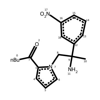 CCCCC(=O)c1cccn1CC(C)(N)c1cccc([N+](=O)[O-])c1